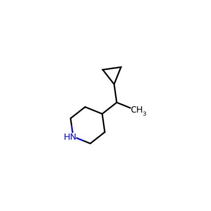 CC(C1CCNCC1)C1CC1